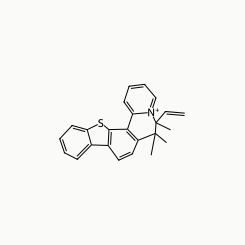 C=CC1(C)[n+]2ccccc2-c2c(ccc3c2sc2ccccc23)C1(C)C